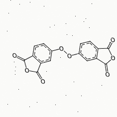 O=C1OC(=O)c2cc(OOc3ccc4c(c3)C(=O)OC4=O)ccc21